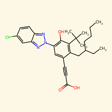 CCCCC(CC)Cc1c(C#CC(=O)O)cc(-n2nc3ccc(Cl)cc3n2)c(O)c1C(C)(C)C